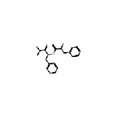 C=C(NC(CC1=CCCC=C1)C(=O)C(C)C)C(C)Cc1ccccc1